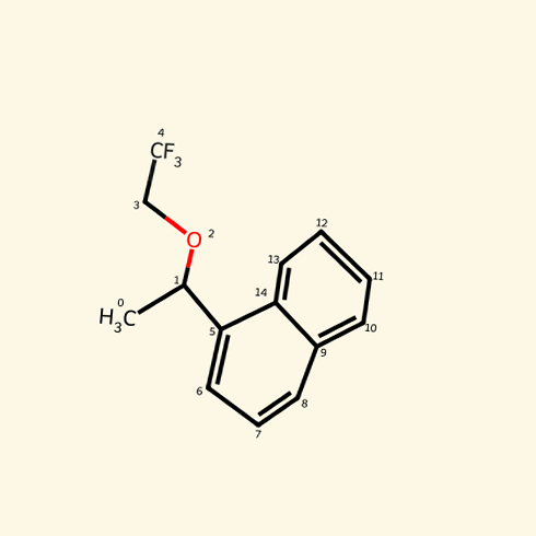 CC(OCC(F)(F)F)c1cccc2ccccc12